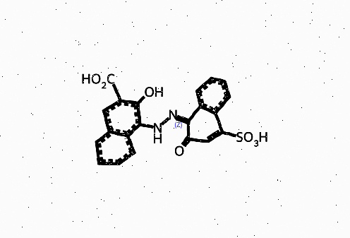 O=C1C=C(S(=O)(=O)O)c2ccccc2/C1=N/Nc1c(O)c(C(=O)O)cc2ccccc12